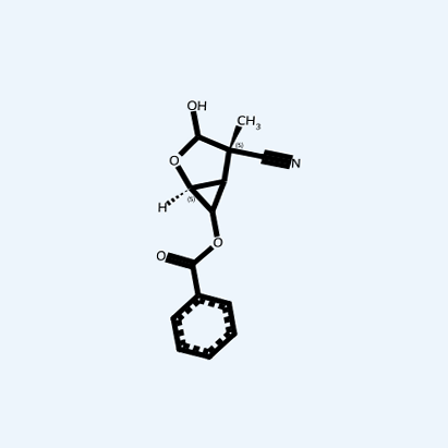 C[C@]1(C#N)C(O)O[C@@H]2C(OC(=O)c3ccccc3)C21